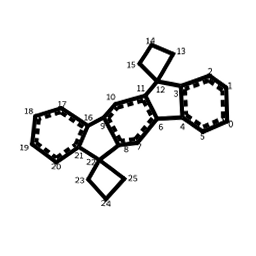 c1ccc2c(c1)-c1cc3c(cc1C21CCC1)-c1ccccc1C31CCC1